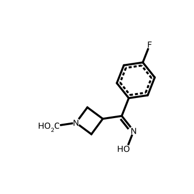 O=C(O)N1CC(C(=NO)c2ccc(F)cc2)C1